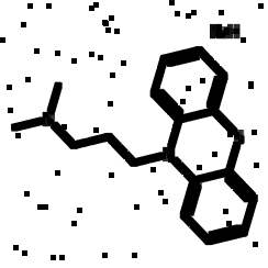 CN(C)CCCN1c2ccccc2Sc2ccccc21.[NaH]